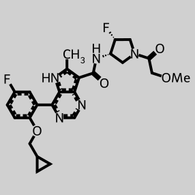 COCC(=O)N1C[C@@H](F)[C@@H](NC(=O)c2c(C)[nH]c3c(-c4cc(F)ccc4OCC4CC4)ncnc23)C1